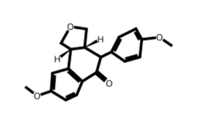 COc1ccc(C2C(=O)c3ccc(OC)cc3[C@@H]3COC[C@H]23)cc1